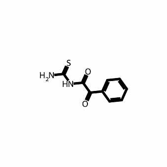 NC(=S)NC(=O)C(=O)c1ccccc1